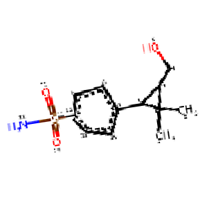 CC1(C)C(CO)C1c1ccc(S(N)(=O)=O)cc1